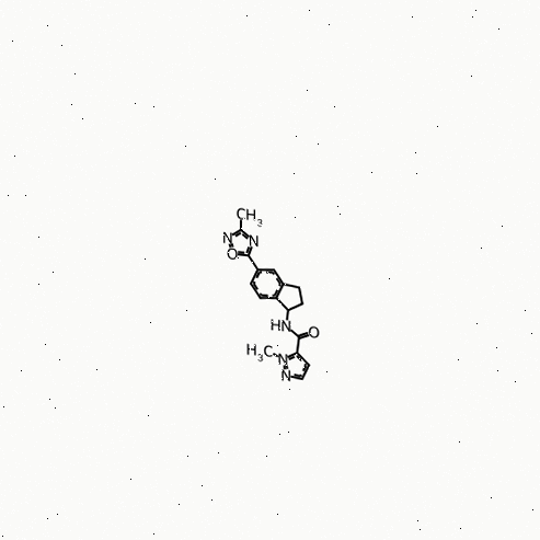 Cc1noc(-c2ccc3c(c2)CCC3NC(=O)c2ccnn2C)n1